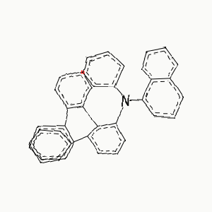 c1ccc(-c2ccccc2-c2c(-c3ccccc3)cccc2N(c2ccccc2)c2cccc3ccccc23)cc1